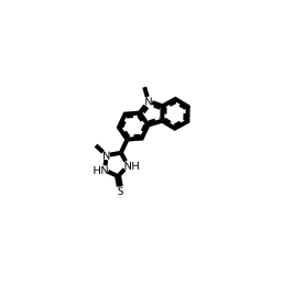 CN1NC(=S)NC1c1ccc2c(c1)c1ccccc1n2C